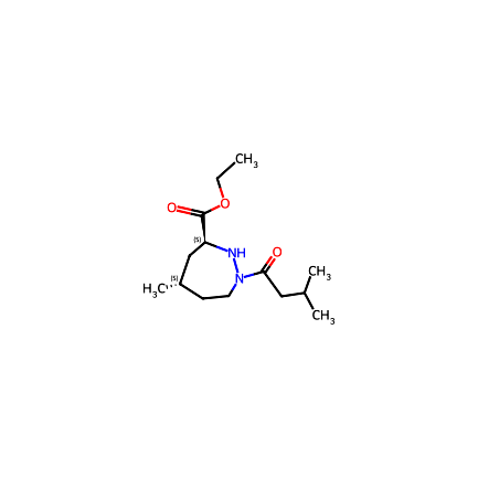 CCOC(=O)[C@@H]1C[C@@H](C)CCN(C(=O)CC(C)C)N1